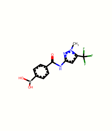 Cn1nc(NC(=O)c2ccc(B(O)O)cc2)cc1C(F)(F)F